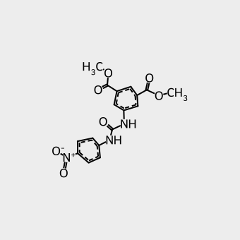 COC(=O)c1cc(NC(=O)Nc2ccc([N+](=O)[O-])cc2)cc(C(=O)OC)c1